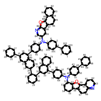 c1ccc(-c2ccc(N(c3ccc(-c4cc(-c5ccccc5)cc5cc(-c6ccccc6-c6cc(-c7ccc(N(c8ccc(-c9ccccc9)cc8)c8cccc9c8oc8c%10cccnc%10ccc98)cc7)c7ccccc7c6)ccc45)cc3)c3cnc4oc5c6ccccc6ccc5c4c3)cc2)cc1